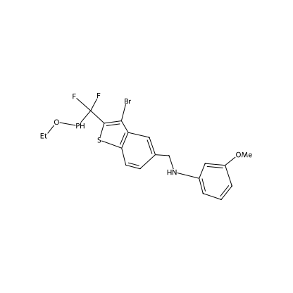 CCOPC(F)(F)c1sc2ccc(CNc3cccc(OC)c3)cc2c1Br